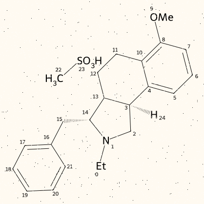 CCN1C[C@@H]2c3cccc(OC)c3CCC2[C@H]1Cc1ccccc1.CS(=O)(=O)O